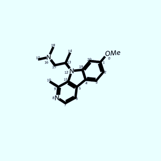 COc1ccc2c3ccnc(C)c3n(C(C)CN(C)C)c2c1